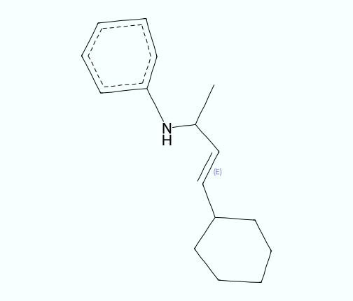 CC(/C=C/C1CCCCC1)Nc1ccccc1